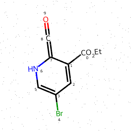 CCOC(=O)C1=CC(Br)=CNC1=C=O